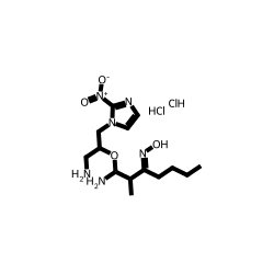 CCCCC(=NO)C(C)C(N)OC(CN)Cn1ccnc1[N+](=O)[O-].Cl.Cl